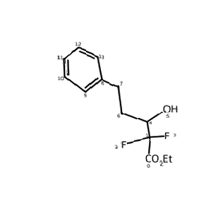 CCOC(=O)C(F)(F)C(O)CCc1ccccc1